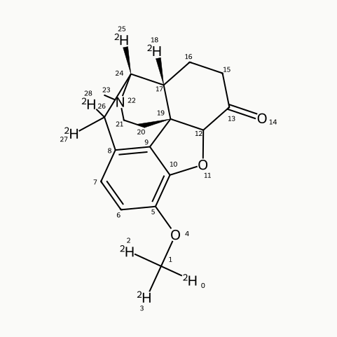 [2H]C([2H])([2H])Oc1ccc2c3c1OC1C(=O)CC[C@]4([2H])[C@@]31CCN(C)[C@]4([2H])C2([2H])[2H]